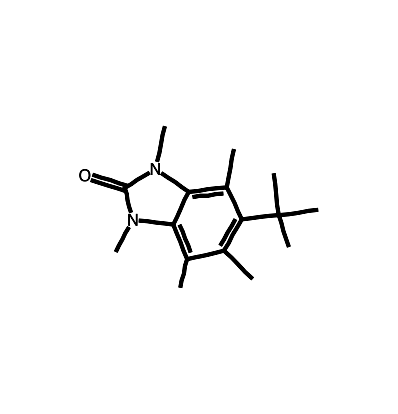 Cc1c(C(C)(C)C)c(C)c2c(c1C)n(C)c(=O)n2C